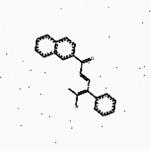 CC(Br)=C(C=CC(=O)c1ccc2ccccc2c1)c1ccccc1